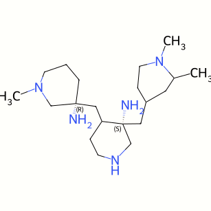 CC1CC(C[C@@]2(N)CNCCC2C[C@]2(N)CCCN(C)C2)CCN1C